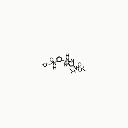 COCCC(=O)Nc1cccc(-c2nc3cc(N(C(=O)OC(C)C)C(C)C(C)C)cnc3[nH]2)c1